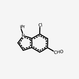 CC(C)n1ccc2cc(C=O)cc(Cl)c21